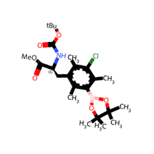 COC(=O)[C@H](Cc1c(C)c(Cl)c(C)c(B2OC(C)(C)C(C)(C)O2)c1C)NC(=O)OC(C)(C)C